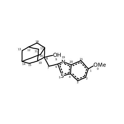 COc1ccc2sc(CC3(O)C4CC5CC(C4)CC3C5)nc2c1